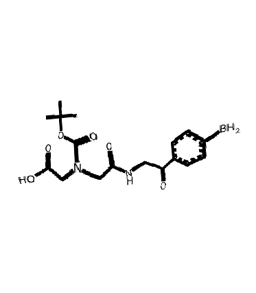 Bc1ccc(C(=O)CNC(=O)CN(CC(=O)O)C(=O)OC(C)(C)C)cc1